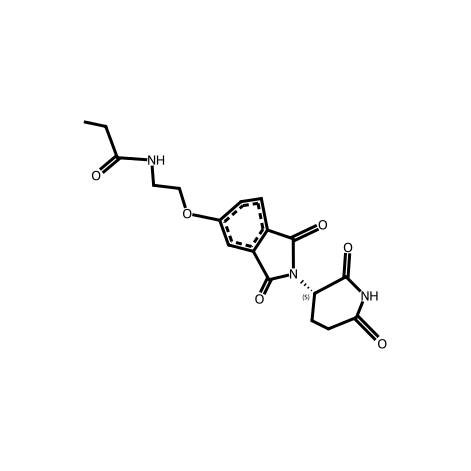 CCC(=O)NCCOc1ccc2c(c1)C(=O)N([C@H]1CCC(=O)NC1=O)C2=O